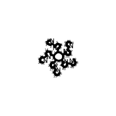 c1ccc(-c2cccc(C3CC(c4cccc(-c5ccccn5)n4)CC(c4cccc(-c5ccccn5)n4)CC(c4cccc(-c5ccccn5)n4)CC(c4cccc(-c5ccccn5)n4)C3)n2)nc1